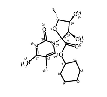 C[C@H]1O[C@@](C(=O)OC2CCCCC2)(n2cc(I)c(N)nc2=O)[C@H](O)[C@@H]1O